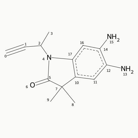 C#CC(C)N1C(=O)C(C)(C)c2cc(N)c(N)cc21